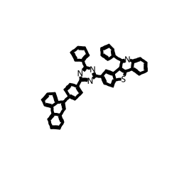 c1ccc(-c2nc(-c3ccc(-c4cc5ccccc5c5ccccc45)cc3)nc(-c3ccc4sc5c6ccccc6nc(-c6ccccc6)c5c4c3)n2)cc1